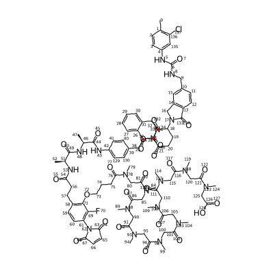 Cc1ccc(NC(=O)NCc2ccc3c(c2)CN(C2CCC(=O)N(C(=O)c4ccccc4CN(C)C(=O)OCc4ccc(NC(=O)[C@H](C)NC(=O)[C@H](C)NC(=O)CCc5ccc(N6C(=O)C=CC6=O)c(F)c5OCCCC(=O)N(C)CC(=O)N(C)CC(=O)N(C)CC(=O)N(C)CC(=O)N(C)CC(=O)N(C)CC(=O)N(C)CC(=O)N(C)CC(=O)N(C)CC(=O)N(C)CC(=O)O)cc4)C2=O)C3=O)cc1Cl